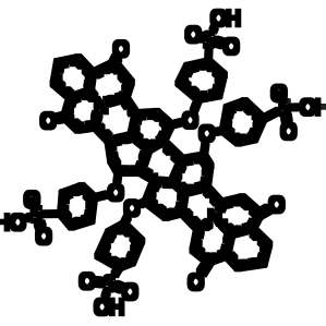 O=c1cc2c3cc(Oc4ccc(S(=O)(=O)O)cc4)c4c5c(Oc6ccc(S(=O)(=O)O)cc6)cc6c7c(cc(Oc8ccc(S(=O)(=O)O)cc8)c(c8c(Oc9ccc(S(=O)(=O)O)cc9)cc(c3c48)c3cc(=O)c4cccc1c4n23)c57)c1cc(=O)c2cccc3c(=O)cc6n1c32